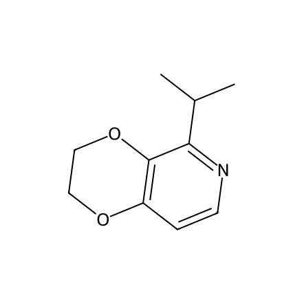 CC(C)c1nccc2c1OCCO2